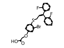 O=C(O)COc1ccc(SCC=C(c2ccccc2F)c2ccccc2F)c(Br)c1